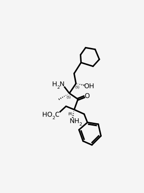 C[C@@](N)(C(=O)[C@](N)(CC(=O)O)Cc1ccccc1)[C@@H](O)CC1CCCCC1